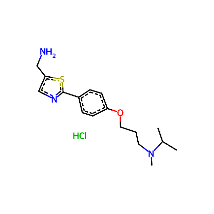 CC(C)N(C)CCCOc1ccc(-c2ncc(CN)s2)cc1.Cl